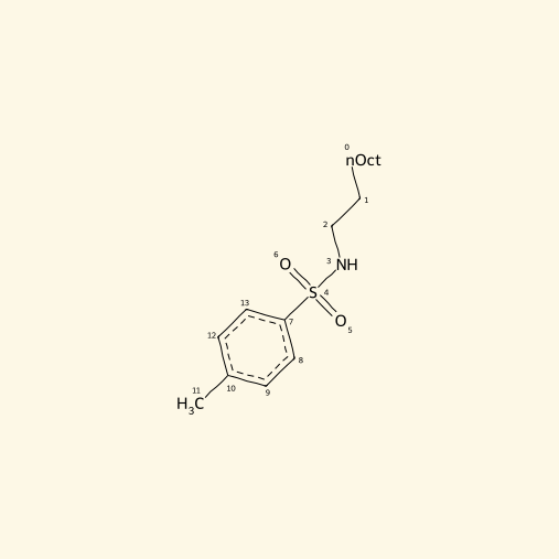 CCCCCCCCCCNS(=O)(=O)c1ccc(C)cc1